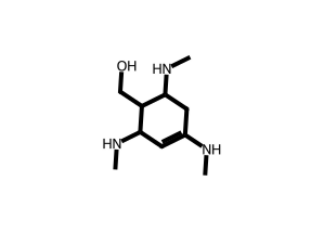 CNC1=CC(NC)C(CO)C(NC)C1